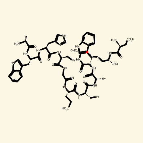 CC(C)C[C@H](NC(=O)[C@H](Cc1c[nH]cn1)NC(=O)[C@H](Cc1c[nH]c2ccccc12)NC(=O)[C@H](C)N)C(=O)NCC(=O)N[C@@H](CCC(=O)O)C(=O)N[C@@H](CC(C)C)C(=O)N[C@H](C(=O)N[C@@H](Cc1c[nH]c2ccccc12)C(=O)N[C@H](C=O)CSSC[C@@H](C=O)NC(=O)[C@@H](N)CC(=O)O)C(C)C